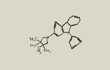 CC1(C)CB(c2ccc3c(c2)N(c2ccccc2)C2=CC=CCC23)CC1(C)C